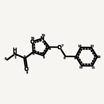 CNC(=O)c1cc(OCc2ccccc2)no1